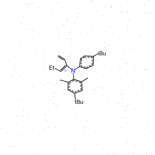 C=C/C(=C\CC)N(c1ccc(C(C)CC)cc1)c1c(C)cc(C(C)(C)C)cc1C